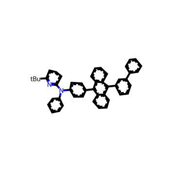 CC(C)(C)c1cccc(N(c2ccccc2)c2ccc(-c3c4ccccc4c(-c4cccc(-c5ccccc5)c4)c4ccccc34)cc2)n1